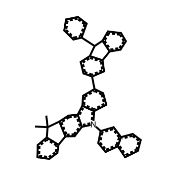 CC1(C)c2ccccc2-c2cc3c(cc21)c1cc(-c2ccc4c(c2)-c2ccccc2C4c2ccccc2)ccc1n3-c1ccc2ccccc2c1